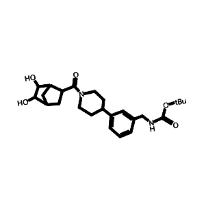 CC(C)(C)OC(=O)NCc1cccc(C2CCN(C(=O)C3CC4CC3C(O)C4O)CC2)c1